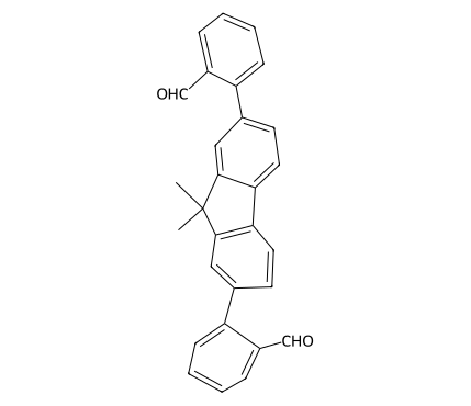 CC1(C)c2cc(-c3ccccc3C=O)ccc2-c2ccc(-c3ccccc3C=O)cc21